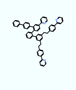 c1ccc(-c2ccc(-c3cc(-c4ccccn4)ccc3-c3ccccc3-c3cc(CCc4ccc(-c5ccccn5)cc4)cc(CCc4ccc(-c5ccccn5)cc4)c3)cc2)cc1